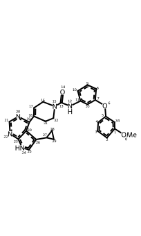 COc1cccc(Oc2cccc(NC(=O)N3CC=C(c4ncnc5[nH]cc(C6CC6)c45)CC3)c2)c1